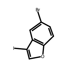 Brc1ccc2occ(I)c2c1